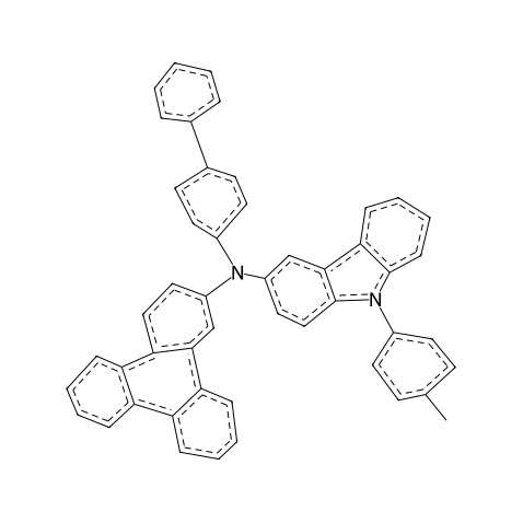 Cc1ccc(-n2c3ccccc3c3cc(N(c4ccc(-c5ccccc5)cc4)c4ccc5c6ccccc6c6ccccc6c5c4)ccc32)cc1